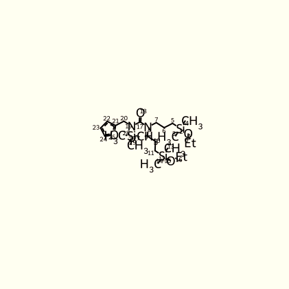 CCO[Si](C)(C)CCCN(CCC[Si](C)(C)OCC)C(=O)N(Cc1ccco1)[Si](C)(C)C